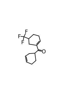 O=C(C1=CCCC(C(F)(F)F)C1)C1CC=CCC1